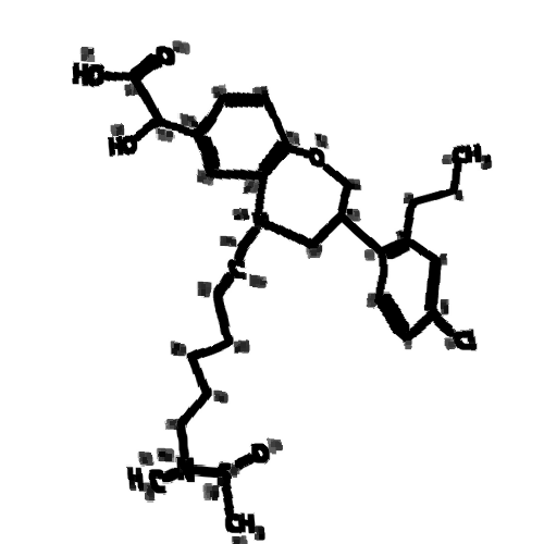 CCCc1cc(Cl)ccc1C1COc2ccc(C(O)C(=O)O)cc2N(CCCCCCCN(C)[S+](C)[O-])C1